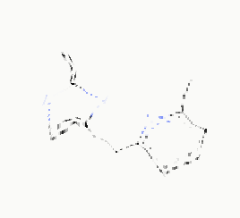 C=C1NC=C(Cc2cccc(C)n2)N1